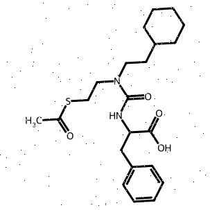 CC(=O)SCCN(CCC1CCCCC1)C(=O)NC(Cc1ccccc1)C(=O)O